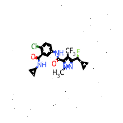 Cn1nc(C(F)C2CC2)c(C(F)(F)F)c1C(=O)Nc1ccc(Cl)c(C(=O)NC2CC2)c1